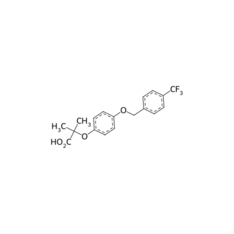 CC(C)(Oc1ccc(OCc2ccc(C(F)(F)F)cc2)cc1)C(=O)O